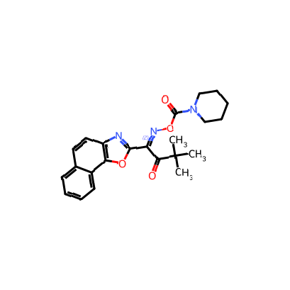 CC(C)(C)C(=O)/C(=N\OC(=O)N1CCCCC1)c1nc2ccc3ccccc3c2o1